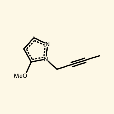 CC#CCn1n[c]cc1OC